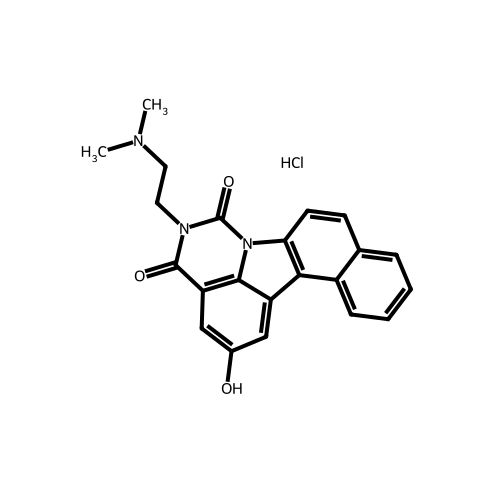 CN(C)CCn1c(=O)c2cc(O)cc3c4c5ccccc5ccc4n(c1=O)c23.Cl